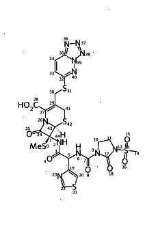 CS[C@@]1(NC(=O)C(NC(=O)N2CCN(S(C)(=O)=O)C2=O)c2cscn2)C(=O)N2C(C(=O)O)=C(CSc3ccc4nnnn4n3)CS[C@H]21